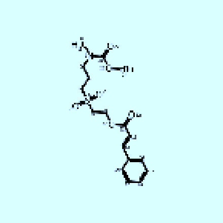 CN(CCCS(=O)(=O)CCOC(=O)C=Cc1ccccc1)C(=O)OC(C)(C)C